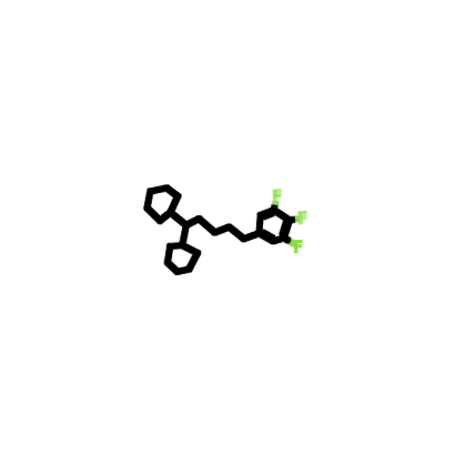 Fc1cc(CCCCC(C2CCCCC2)C2CCCCC2)cc(F)c1F